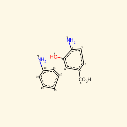 Nc1ccc(C(=O)O)cc1O.Nc1ccccc1